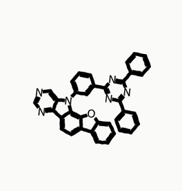 c1ccc(-c2nc(-c3ccccc3)nc(-c3cccc(-n4c5cncnc5c5ccc6c7ccccc7oc6c54)c3)n2)cc1